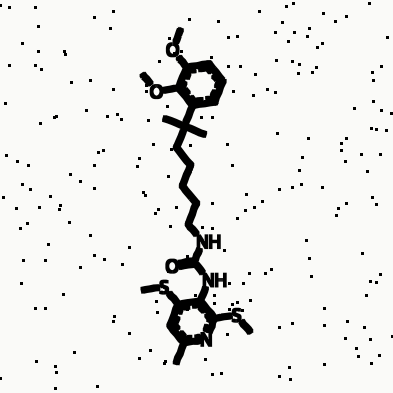 COc1cccc(C(C)(C)CCCCCNC(=O)Nc2c(SC)cc(C)nc2SC)c1OC